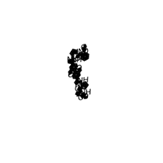 COC(=O)N[C@H](C(=O)N1CCC[C@H]1c1ncc(-c2cc3c4c(c2)OCc2cc(-c5cnc([C@@H]6CCCN6C(=O)[C@H](NC(=O)OC)c6ccccc6)[nH]5)cc(c2-4)OC3)[nH]1)C(C)C